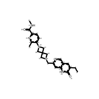 CCc1cc2cnc(CN3CC4(C3)CN(c3ccc(C(=O)NC)nc3C)C4)cc2[nH]c1=O